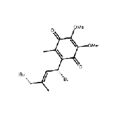 CC[C@@H](C)C/C(C)=C/[C@@H](CC)C1=C(C)C(=O)C(OC)=C(OC)C1=O